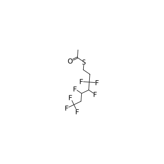 CC(=O)SCCC(F)(F)C(F)C(F)CC(F)(F)F